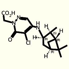 C[C@H]1[C@H]2C[C@H](C[C@H]1Nc1cnn(CC(=O)O)c(=O)c1Cl)C2(C)C